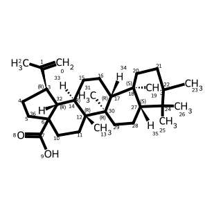 C=C(C)[C@@H]1CCC2(C(=O)O)CC[C@]3(C)[C@H](CC[C@@H]4[C@@]5(C)CCC(C)C(C)(C)[C@@H]5CC[C@]43C)[C@@H]12